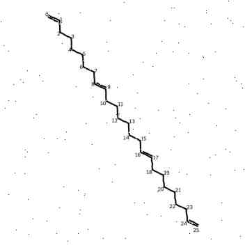 C=CCCCCCCC=CCCCCCCC=CCCCCCCC=C